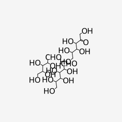 O=C(CO)C(O)C(O)C(O)CO.O=CC(O)C(O)C(O)C(O)CO.O=CC(O)C(O)C(O)CO